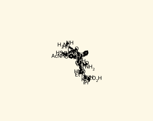 CC[C@H](NC(=O)CNC(=O)[C@H](CCC(N)=O)NC(=O)[C@H](Cc1c[nH]c2ccccc12)NC(=O)[C@H](Cc1ccccc1)NC(=O)CNC(=O)[C@H](CCCNC(=N)N)NC(=O)CNC(=O)[C@H](CS)NC(C)=O)C(=O)NCC(=O)N[C@@](C)(CC(C)C)C(=O)O